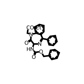 CCOC(=O)CN1C(=O)C(NC(=O)OCc2ccccc2)N=C(c2ccccc2)c2ccccc21